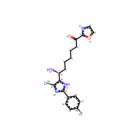 N[C@@H](CCCCCC(=O)c1ncco1)c1[nH]c(-c2ccc(F)cc2)nc1Cl